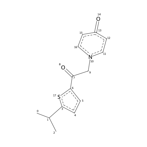 CC(C)c1ccc(C(=O)Cn2ccc(=O)cc2)s1